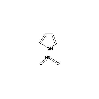 O=[SH](=O)[SH]1C=CC=C1